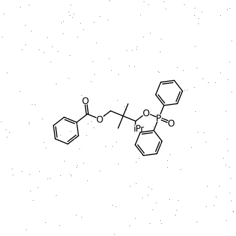 CC(C)C(OP(=O)(c1ccccc1)c1ccccc1)C(C)(C)COC(=O)c1ccccc1